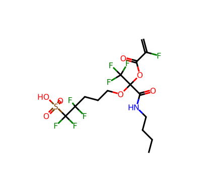 C=C(F)C(=O)OC(OCCCC(F)(F)C(F)(F)S(=O)(=O)O)(C(=O)NCCCC)C(F)(F)F